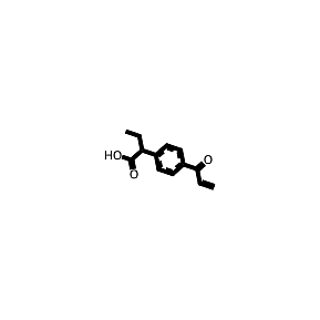 C=CC(=O)c1ccc(C(CC)C(=O)O)cc1